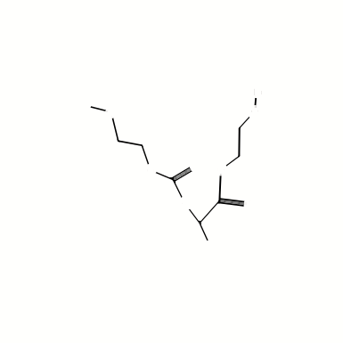 CCOCCOC(=O)CC(C(=O)OCCOCC)S(=O)(=O)O